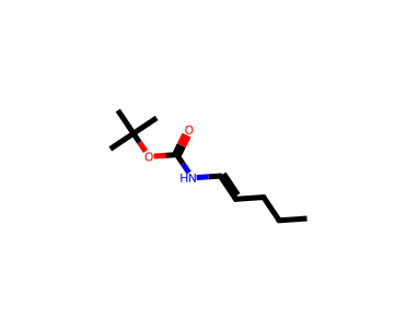 CCCC=CNC(=O)OC(C)(C)C